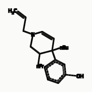 C=CCN1C=CC(CCCC)(c2cccc(O)c2)C(CCC)C1